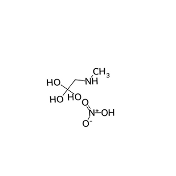 CNCC(O)(O)O.O=[N+]([O-])O